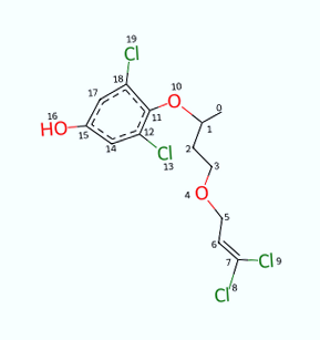 CC(CCOCC=C(Cl)Cl)Oc1c(Cl)cc(O)cc1Cl